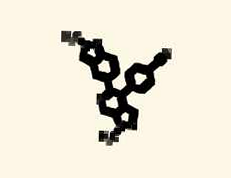 Cn1cc2cc(-c3ncc4c(cnn4C)c3-c3ccc(C#N)cc3)ccc2n1